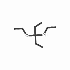 CCOC(CC)(CC)PCC